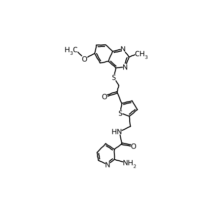 COc1ccc2nc(C)nc(SCC(=O)c3ccc(CNC(=O)c4cccnc4N)s3)c2c1